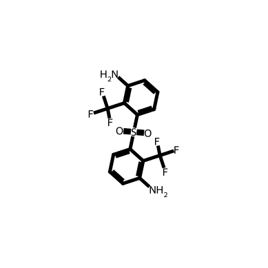 Nc1cccc(S(=O)(=O)c2cccc(N)c2C(F)(F)F)c1C(F)(F)F